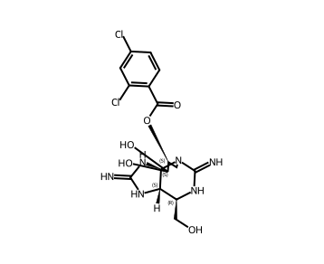 N=C1N[C@H]2[C@H](CO)NC(=N)N3C[C@H](OC(=O)c4ccc(Cl)cc4Cl)C(O)(O)[C@]23N1